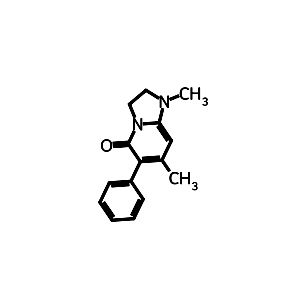 Cc1cc2n(c(=O)c1-c1ccccc1)CCN2C